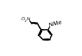 CNc1ccccc1C=C[N+](=O)[O-]